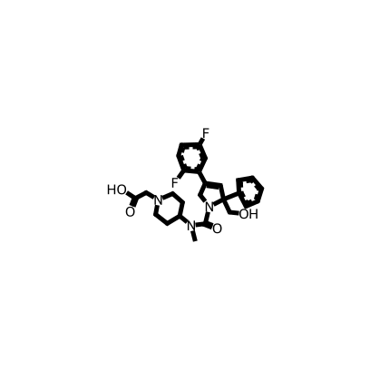 CN(C(=O)N1CC(c2cc(F)ccc2F)=CC1(CO)c1ccccc1)C1CCN(CC(=O)O)CC1